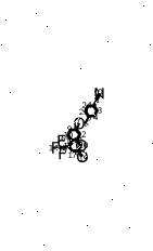 N#Cc1ccc(COc2ccc3c(C(F)(F)F)cc(=O)oc3c2)cc1